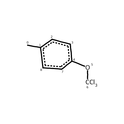 Cc1ccc(OC(Cl)(Cl)Cl)cc1